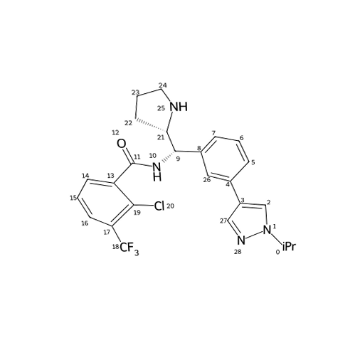 CC(C)n1cc(-c2cccc([C@H](NC(=O)c3cccc(C(F)(F)F)c3Cl)[C@@H]3CCCN3)c2)cn1